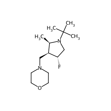 C[C@@H]1[C@H](CN2CCOCC2)[C@@H](F)CN1C(C)(C)C